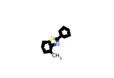 Cc1cccc2sc(-c3ccccc3)nc12